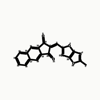 Cc1nc2oc(C=C3C(=O)c4cc5ccccc5cc4C3=O)nc2o1